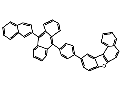 c1ccc2cc(-c3c4ccccc4c(-c4ccc(-c5ccc6oc7ccc8ccccc8c7c6c5)cc4)c4ccccc34)ccc2c1